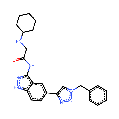 O=C(CNC1CCCCC1)Nc1n[nH]c2ccc(-c3cn(Cc4ccccc4)nn3)cc12